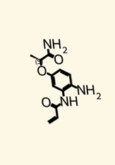 C=CC(=O)Nc1cc(O[C@@H](C)C(N)=O)ccc1N